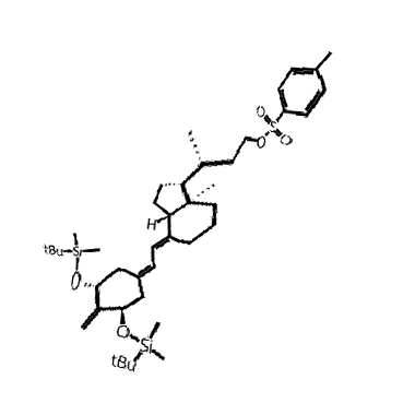 C=C1[C@H](O[Si](C)(C)C(C)(C)C)CC(=C/C=C2\CCC[C@]3(C)[C@@H]([C@H](C)CCOS(=O)(=O)c4ccc(C)cc4)CC[C@@H]23)C[C@H]1O[Si](C)(C)C(C)(C)C